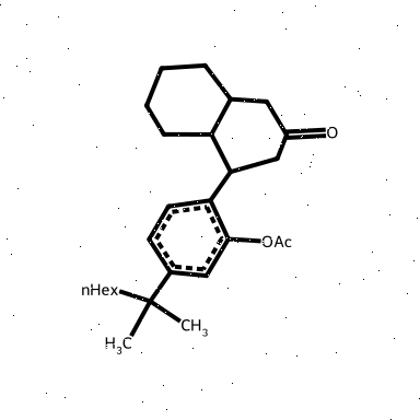 CCCCCCC(C)(C)c1ccc(C2CC(=O)CC3CCCCC32)c(OC(C)=O)c1